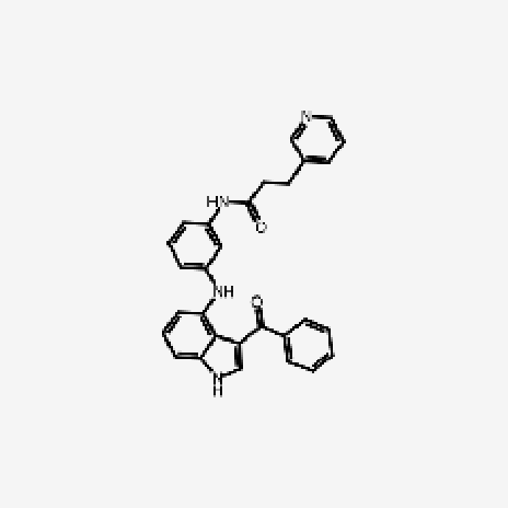 O=C(CCc1cccnc1)Nc1cccc(Nc2cccc3[nH]cc(C(=O)c4ccccc4)c23)c1